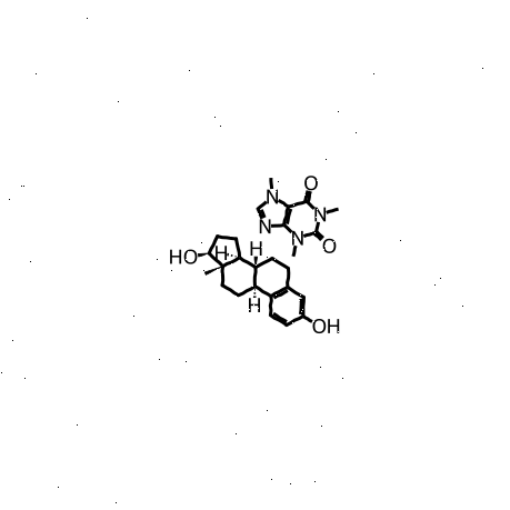 C[C@]12CC[C@@H]3c4ccc(O)cc4CC[C@H]3[C@@H]1CC[C@@H]2O.Cn1c(=O)c2c(ncn2C)n(C)c1=O